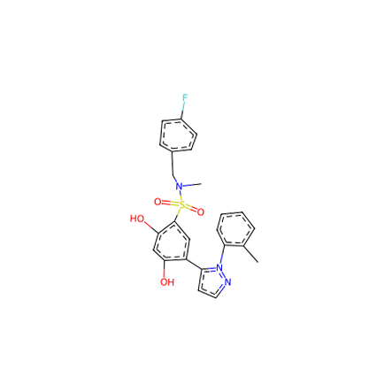 Cc1ccccc1-n1nccc1-c1cc(S(=O)(=O)N(C)Cc2ccc(F)cc2)c(O)cc1O